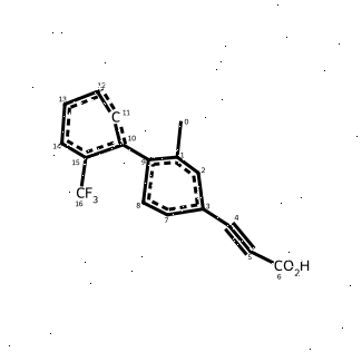 Cc1cc(C#CC(=O)O)ccc1-c1ccccc1C(F)(F)F